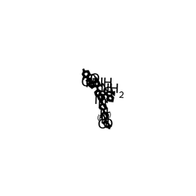 Cc1ccc(S(=O)(=O)n2ccc3c(-c4ccc5nc(N6CCC(N7C[C@@H](C)N(C(=O)OC(C)(C)C)C[C@@H]7C)CC6)nc(C(CN)(OC6CC6)c6ccccc6)c5c4)c[nH]c(=O)c32)c(C)c1